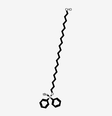 CC(C)(C)[Si](OCCCCCCCCCCCCCCCCCCCCCCC=O)(c1ccccc1)c1ccccc1